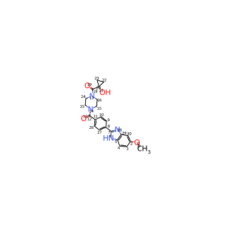 COc1ccc2[nH]c(-c3ccc(C(=O)N4CCN(C(=O)C5(O)CC5)CC4)cc3)nc2c1